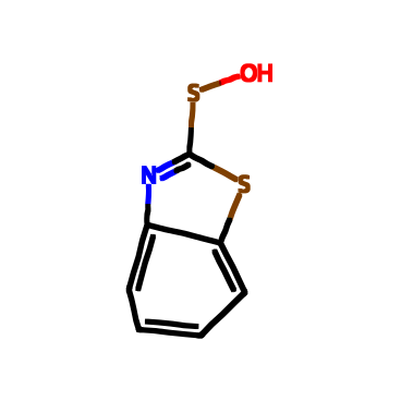 OSc1nc2ccccc2s1